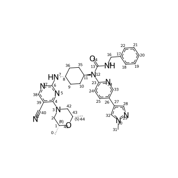 C[C@@H]1CN(c2nc(N[C@H]3CC[C@H](N(C(=O)NCc4ccccc4)c4ccc(-c5cnn(C)c5)cn4)CC3)ncc2C#N)C[C@H](C)O1